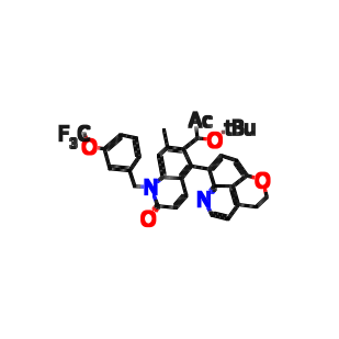 CC(=O)C(OC(C)(C)C)c1c(C)cc2c(ccc(=O)n2Cc2cccc(OC(F)(F)F)c2)c1-c1ccc2c3c(ccnc13)CCO2